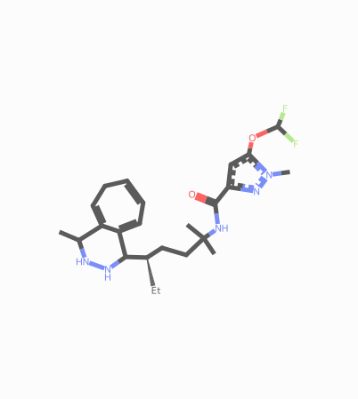 CC[C@H](CCC(C)(C)NC(=O)c1cc(OC(F)F)n(C)n1)C1NNC(C)C2=CCC=CC=C21